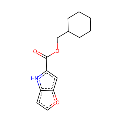 O=C(OCC1CCCCC1)c1cc2occc2[nH]1